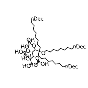 CCCCCCCCCCCCCCCCCCOC(CCCCCCCCCCCCCCCCCC)(CCCCCCCCCCCCCCCCCC)[C@H](OP(O)O)[C@@H](OP(O)O)[C@H](OP(O)O)[C@H](O)CO